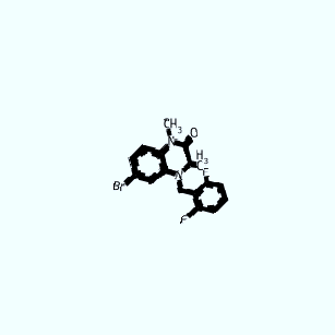 CC1C(=O)N(C)c2ccc(Br)cc2N1Cc1c(F)cccc1F